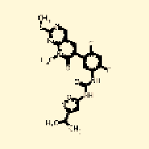 CSc1ncc2cc(-c3cc(NC(=O)Nc4cc(C(C)C)no4)c(F)cc3Cl)c(=O)n(C)c2n1